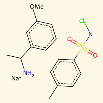 COc1cccc(C(C)N)c1.Cc1ccc(S(=O)(=O)[N-]Cl)cc1.[Na+]